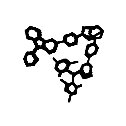 Cc1cc(C)c(B(c2cccc(-c3ccc(C45CC6CC(C4)CC(c4ccc(-c7ccc8c(c7)c7ccccc7n8-c7ccccc7)cc4)(C6)C5)cc3)c2)c2c(C)cc(C)cc2C)c(C)c1